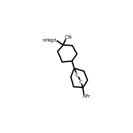 CCCCCCCC1(C#N)CCC(C23CCC(CCC)(CC2)CC3)CC1